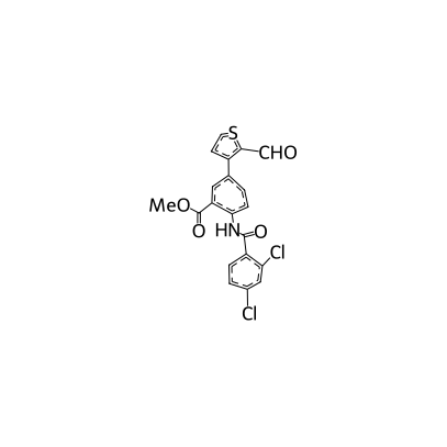 COC(=O)c1cc(-c2ccsc2C=O)ccc1NC(=O)c1ccc(Cl)cc1Cl